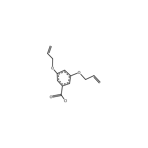 C=CCOc1cc(OCC=C)cc(C(=O)Cl)c1